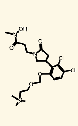 CN(O)C(=O)CCN1CC(c2c(OCOCC[Si](C)(C)C)ccc(Cl)c2Cl)CC1=O